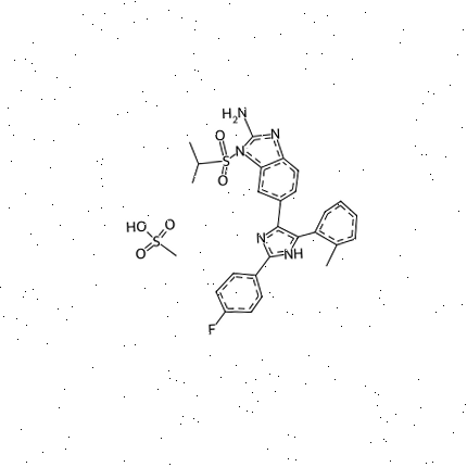 CS(=O)(=O)O.Cc1ccccc1-c1[nH]c(-c2ccc(F)cc2)nc1-c1ccc2nc(N)n(S(=O)(=O)C(C)C)c2c1